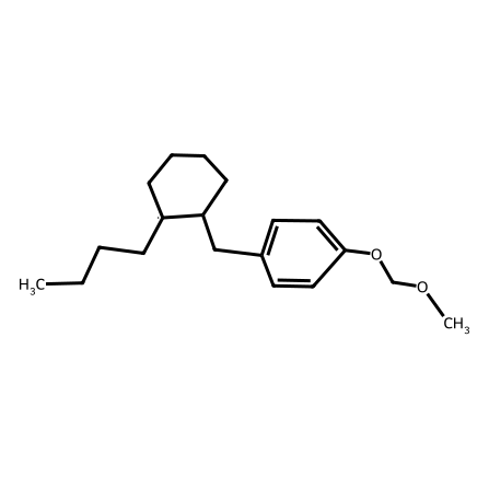 CCCC[C]1CCCCC1Cc1ccc(OCOC)cc1